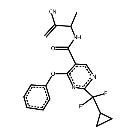 C=C(C#N)C(C)NC(=O)c1cnc(C(F)(F)C2CC2)nc1Oc1ccccc1